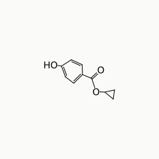 O=C(OC1CC1)c1ccc(O)cc1